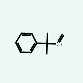 C=[SiH]C(C)(C)c1ccccc1